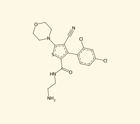 N#Cc1c(N2CCOCC2)sc(C(=O)NCCN)c1-c1ccc(Cl)cc1Cl